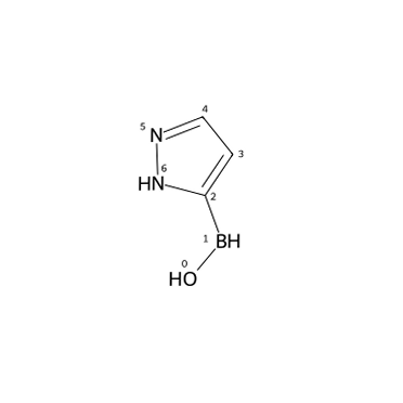 OBc1ccn[nH]1